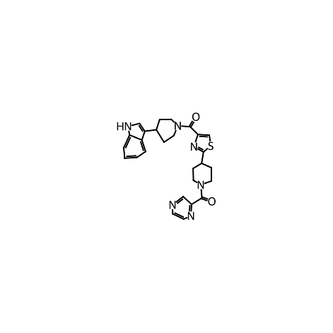 O=C(c1cnccn1)N1CCC(c2nc(C(=O)N3CCC(c4c[nH]c5ccccc45)CC3)cs2)CC1